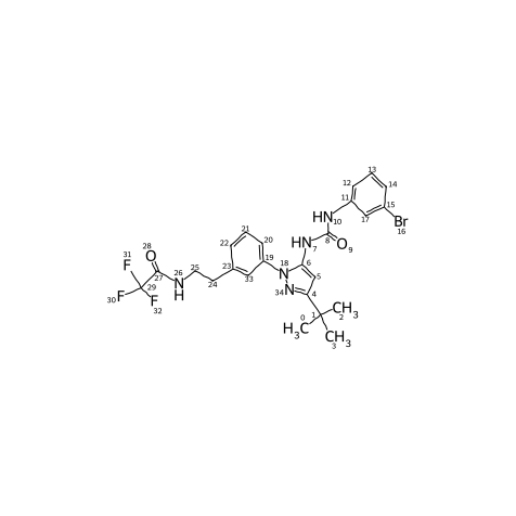 CC(C)(C)c1cc(NC(=O)Nc2cccc(Br)c2)n(-c2cccc(CCNC(=O)C(F)(F)F)c2)n1